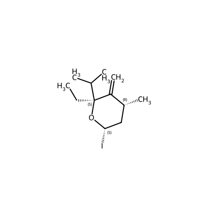 C=C1[C@H](C)C[C@H](I)O[C@@]1(CC)C(C)C